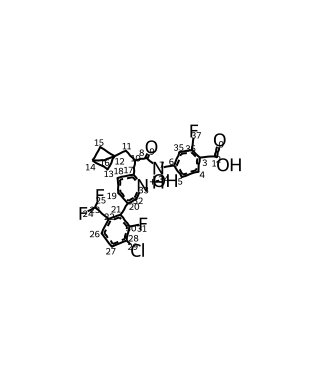 O=C(O)c1ccc(NC(=O)C(CC23CC(C2)C3)c2ccc(-c3c(C(F)F)ccc(Cl)c3F)c[n+]2O)cc1F